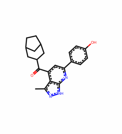 Cc1n[nH]c2nc(-c3ccc(O)cc3)cc(C(=O)C3CC4CCC(C4)C3)c12